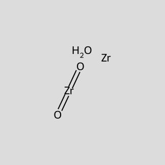 O.[O]=[Zr]=[O].[Zr]